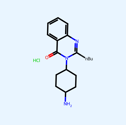 CCCCc1nc2ccccc2c(=O)n1C1CCC(N)CC1.Cl